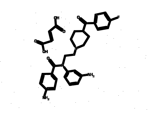 Nc1ccc(C(=O)N(CCN2CCC(C(=O)c3ccc(F)cc3)CC2)c2cccc(N)c2)cc1.O=C(O)C=CC(=O)O